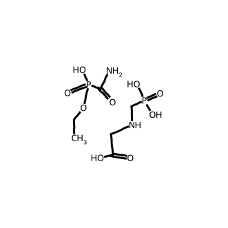 CCOP(=O)(O)C(N)=O.O=C(O)CNCP(=O)(O)O